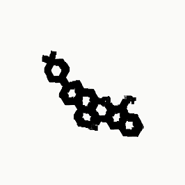 CC(C)c1c2c(cc3ccccc13)-c1nccc3c1c(cc1cc(C4CCC(C)(C)CC4)ccc13)O2